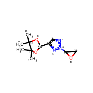 CC1(C)OB(c2cnn(C3CO3)n2)OC1(C)C